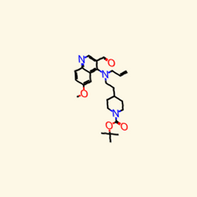 C=CCN(CCC1CCN(C(=O)OC(C)(C)C)CC1)c1c(C=O)cnc2ccc(OC)cc12